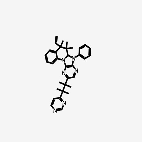 C=CC1(C)c2ccccc2N2c3nc(C(C)(C)C(C)(C)c4ccncn4)cnc3N(c3ccccc3)C2C1(C)C